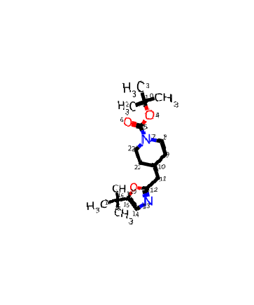 CC(C)(C)OC(=O)N1CCC(Cc2ncc(C(C)(C)C)o2)CC1